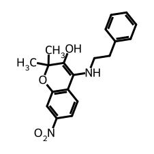 CC1(C)Oc2cc([N+](=O)[O-])ccc2C(NCCc2ccccc2)=C1O